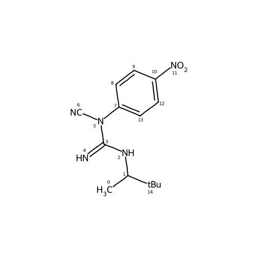 CC(NC(=N)N(C#N)c1ccc([N+](=O)[O-])cc1)C(C)(C)C